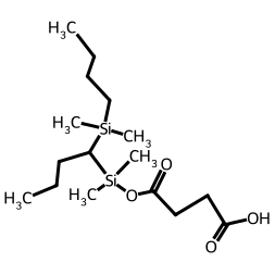 CCCC[Si](C)(C)C(CCC)[Si](C)(C)OC(=O)CCC(=O)O